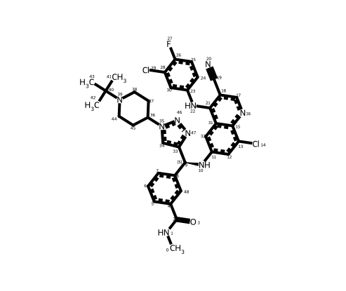 CNC(=O)c1cccc([C@H](Nc2cc(Cl)c3ncc(C#N)c(Nc4ccc(F)c(Cl)c4)c3c2)c2cn(C3CCN(C(C)(C)C)CC3)nn2)c1